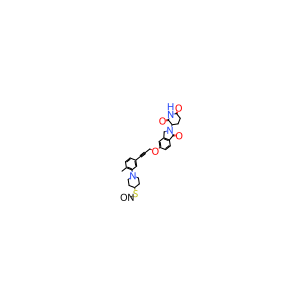 Cc1ccc(C#CCOc2ccc3c(c2)CN(C2CCC(=O)NC2=O)C3=O)cc1N1CCC(SN=O)CC1